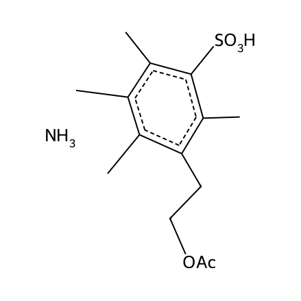 CC(=O)OCCc1c(C)c(C)c(C)c(S(=O)(=O)O)c1C.N